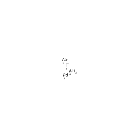 [AlH3].[Au].[Pd].[Ti]